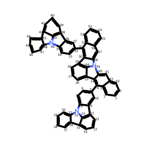 c1ccc2c(-c3ccc4c(c3)c3cccc5c6ccccc6n4c53)c3c4cccc5c6c(-c7ccc8c(c7)c7cccc9c%10ccccc%10n8c97)c7ccccc7cc6n(c3cc2c1)c45